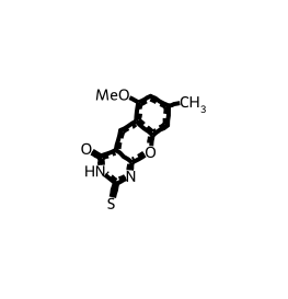 COc1cc(C)cc2oc3nc(=S)[nH]c(=O)c-3cc12